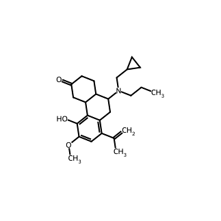 C=C(C)c1cc(OC)c(O)c2c1CC(N(CCC)CC1CC1)C1CCC(=O)CC21